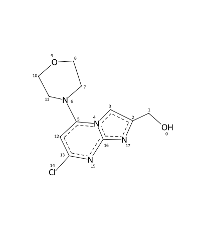 OCc1cn2c(N3CCOCC3)cc(Cl)nc2n1